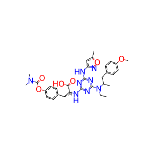 CCN(c1nc(Nc2cc(C)on2)nc(N[C@@H](Cc2ccc(OC(=O)N(C)C)cc2)C(=O)O)n1)C(C)Cc1ccc(OC)cc1